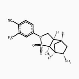 C[C@@]12[C@@H](CN(c3ccc(C#N)c(C(F)(F)F)c3)S1(=O)=O)[C@H]1C[C@H](N)[C@@H]2C1